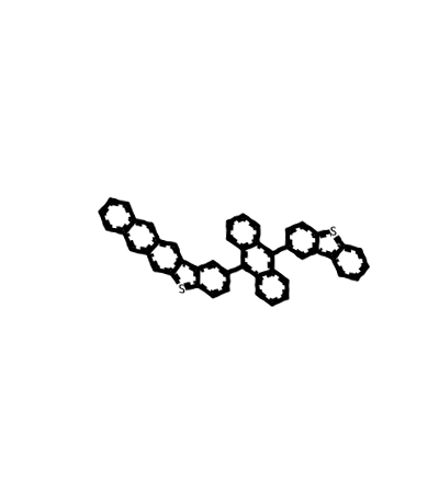 c1ccc2cc3cc4c(cc3cc2c1)sc1ccc(-c2c3ccccc3c(-c3ccc5sc6ccccc6c5c3)c3ccccc23)cc14